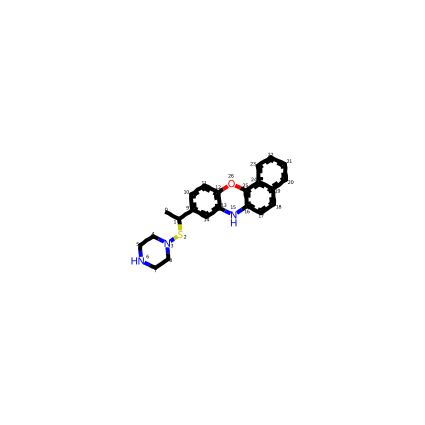 CC(SN1CCNCC1)c1ccc2c(c1)Nc1ccc3ccccc3c1O2